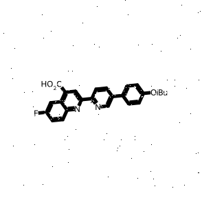 CC(C)COc1ccc(-c2ccc(-c3cc(C(=O)O)c4cc(F)ccc4n3)nc2)cc1